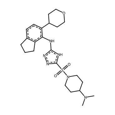 CN(C)C1CCN(S(=O)(=O)c2nnc(Nc3c(C4CCOCC4)ccc4c3CCC4)[nH]2)CC1